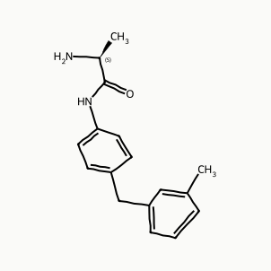 Cc1cccc(Cc2ccc(NC(=O)[C@H](C)N)cc2)c1